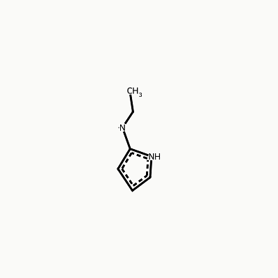 CC[N]c1ccc[nH]1